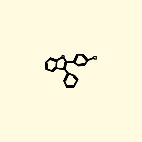 Clc1ccc(-c2oc3ccccc3c2-c2ccccc2)cc1